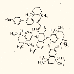 Cc1cc2c3c(c1)N(c1cc4c(cc1C)C(C)(C)CCC4(C)C)c1cc4c(cc1B3c1ccc(C3=CC5(C)CCCCC5(C)c5cc(-c6ccc(C(C)(C)C)cc6)ccc53)cc1N2c1cc2c(cc1C)C(C)(C)CCC2(C)C)C(C)(C)CCC4(C)C